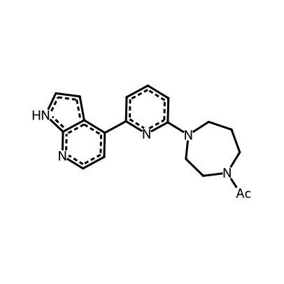 CC(=O)N1CCCN(c2cccc(-c3ccnc4[nH]ccc34)n2)CC1